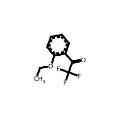 CCOc1ccccc1C(=O)C(F)(F)F